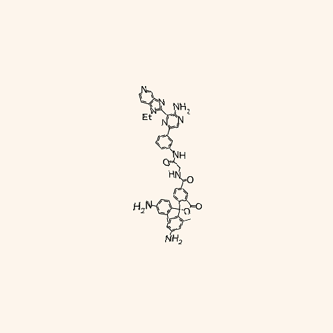 CCn1c(-c2nc(-c3cccc(NC(=O)CNC(=O)c4ccc5c(c4)C(=O)OC5(c4ccc(N)cc4C)c4ccc(N)cc4C)c3)cnc2N)nc2cnccc21